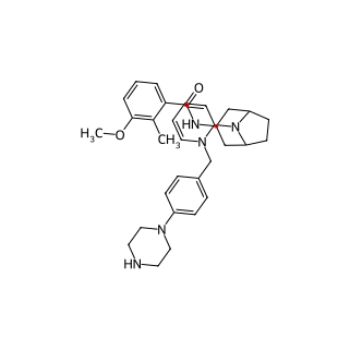 COc1cccc(C(=O)NC2CC3CCC(C2)N3C2C=CC=CN2Cc2ccc(N3CCNCC3)cc2)c1C